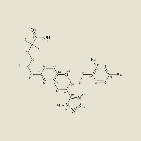 CC(CCC(C)(C)C(=O)O)Oc1ccc2c(c1)C=C(c1nccn1C)C(CCc1ccc(F)cc1F)O2